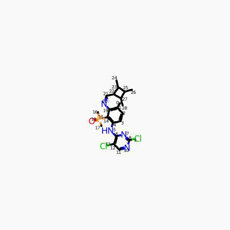 Cc1ccc(Nc2nc(Cl)ncc2Cl)c(P(C)(C)=O)c1/N=C\C1C(C)C(C)C1C